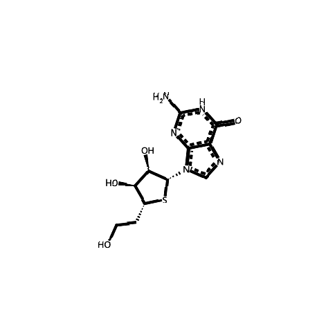 Nc1nc2c(ncn2[C@@H]2S[C@H](CCO)[C@@H](O)[C@H]2O)c(=O)[nH]1